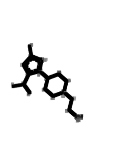 Cc1cc(C(C)C)n(C2CCN(CCO)CC2)n1